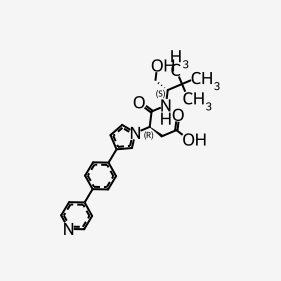 CC(C)(C)[C@@H](CO)NC(=O)[C@@H](CC(=O)O)n1ccc(-c2ccc(-c3ccncc3)cc2)c1